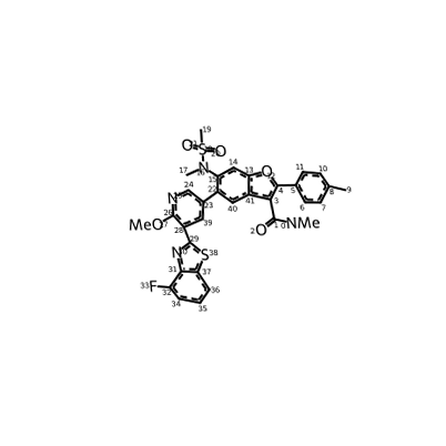 CNC(=O)c1c(-c2ccc(C)cc2)oc2cc(N(C)S(C)(=O)=O)c(-c3cnc(OC)c(-c4nc5c(F)cccc5s4)c3)cc12